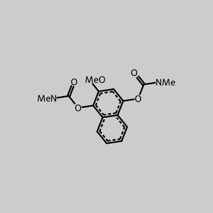 CNC(=O)Oc1cc(OC)c(OC(=O)NC)c2ccccc12